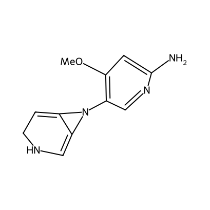 COc1cc(N)ncc1N1C2=CCNC=C21